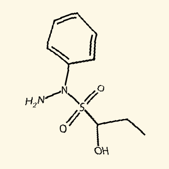 CCC(O)S(=O)(=O)N(N)c1ccccc1